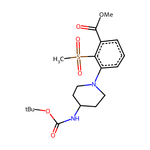 COC(=O)c1cccc(N2CCC(NC(=O)OC(C)(C)C)CC2)c1S(C)(=O)=O